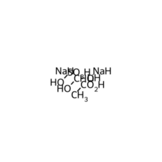 CC(=O)O.O=CO.O=S(=O)(O)O.[LiH].[NaH].[NaH]